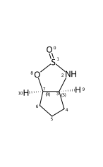 O=S1N[C@H]2CCC[C@H]2O1